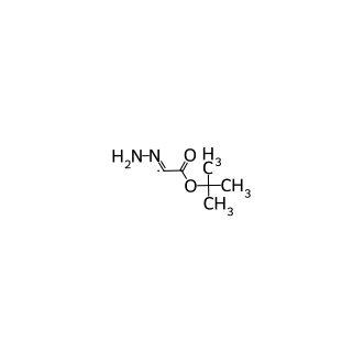 CC(C)(C)OC(=O)[C]=NN